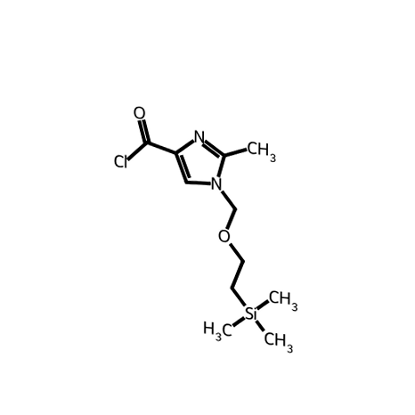 Cc1nc(C(=O)Cl)cn1COCC[Si](C)(C)C